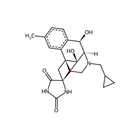 Cc1ccc2c(c1)[C@]13CCN(CC4CC4)[C@H]([C@@H]2O)[C@]1(O)CC[C@@]1(C3)NC(=O)NC1=O